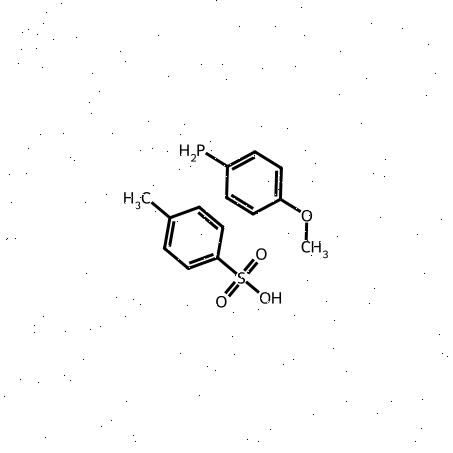 COc1ccc(P)cc1.Cc1ccc(S(=O)(=O)O)cc1